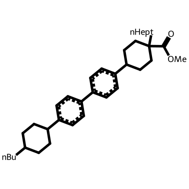 CCCCCCCC1(C(=O)OC)CCC(c2ccc(-c3ccc(C4CCC(CCCC)CC4)cc3)cc2)CC1